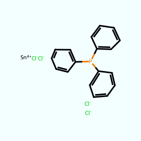 [Cl-].[Cl-].[Cl-].[Cl-].[Sn+4].c1ccc(P(c2ccccc2)c2ccccc2)cc1